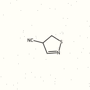 N#CC1C=NSC1